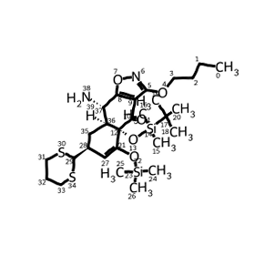 CCCCOc1noc2c1C(=O)[C@@]1(O[Si](C)(C)C(C)(C)C)C(O[Si](C)(C)C)=C[C@@H](C3SCCCS3)C[C@H]1[C@@H]2N